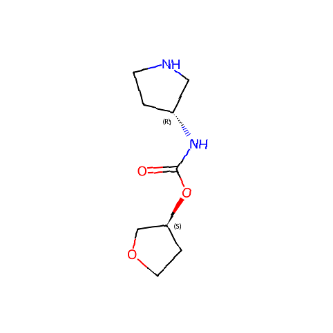 O=C(N[C@@H]1CCNC1)O[C@H]1CCOC1